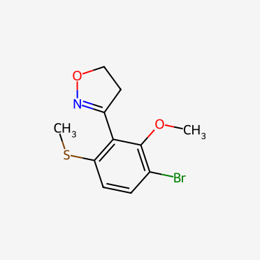 COc1c(Br)ccc(SC)c1C1=NOCC1